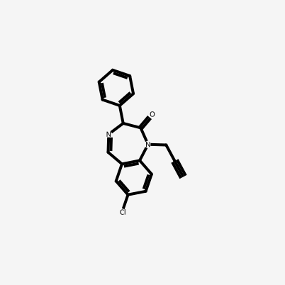 C#CCN1C(=O)C(c2ccccc2)N=Cc2cc(Cl)ccc21